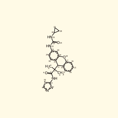 CC(C)(C(=O)Nc1nncs1)C1c2ccccc2Oc2cc(NC(=O)NC3CC3)ccc21